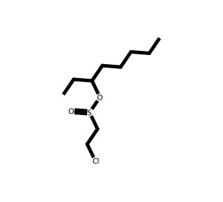 CCCCCC(CC)OS(=O)CCCl